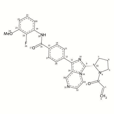 C=CC(=O)N1CCC[C@H]1c1nc(-c2ccc(C(=O)Nc3cccc(OC)c3F)cc2)c2cnccn12